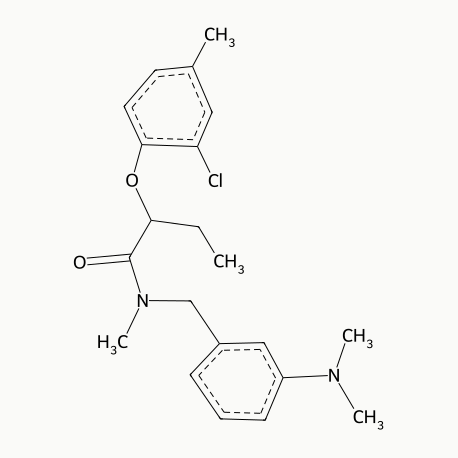 CCC(Oc1ccc(C)cc1Cl)C(=O)N(C)Cc1cccc(N(C)C)c1